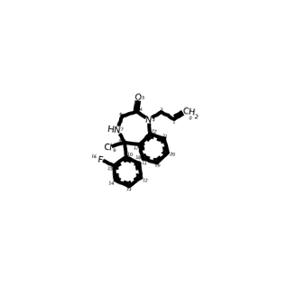 C=CCN1C(=O)CNC(Cl)(c2ccccc2F)c2ccccc21